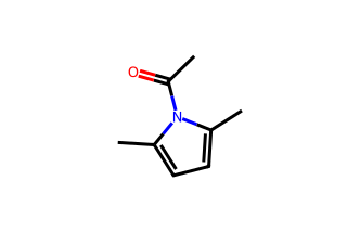 CC(=O)n1c(C)ccc1C